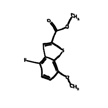 COC(=O)c1cc2c(F)ccc(OC)c2s1